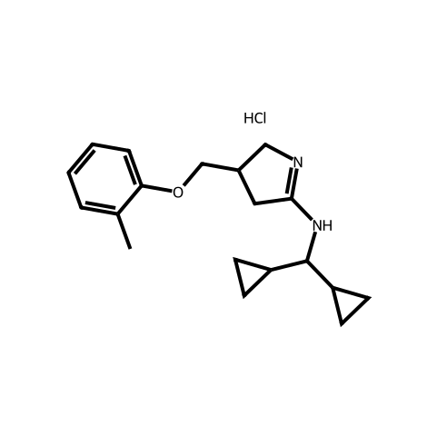 Cc1ccccc1OCC1CN=C(NC(C2CC2)C2CC2)C1.Cl